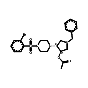 CC(=O)O[C@@H]1CN(Cc2ccccc2)C[C@H]1N1CCN(S(=O)(=O)c2ccccc2Br)CC1